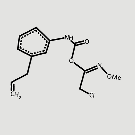 C=CCc1cccc(NC(=O)OC(CCl)=NOC)c1